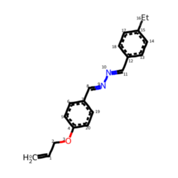 C=CCOc1ccc(/C=N/N=C/c2ccc(CC)cc2)cc1